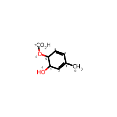 CC1=CC(O)C(OC(=O)O)C=C1